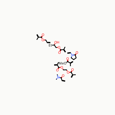 C=C(C)C(=O)OC.C=C(C)C(=O)OCC(O)CC.C=C(C)C(=O)OCCOC(=O)C(=C)C.C=CC(=O)N(C)C.C=CCOC(=O)C(=C)C.C=CN1CCCC1=O